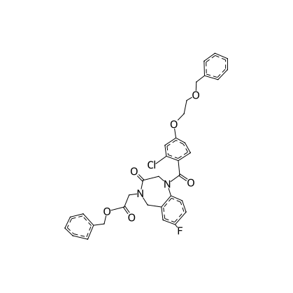 O=C(CN1Cc2cc(F)ccc2N(C(=O)c2ccc(OCCOCc3ccccc3)cc2Cl)CC1=O)OCc1ccccc1